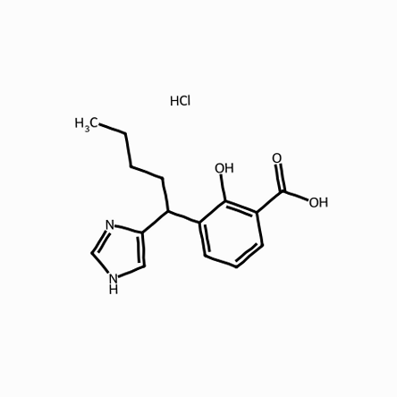 CCCCC(c1c[nH]cn1)c1cccc(C(=O)O)c1O.Cl